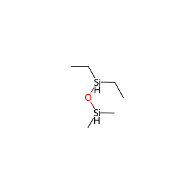 CC[SiH](CC)O[SiH](C)C